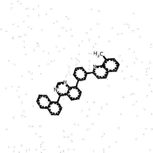 Cc1cccc2ccc(-c3cccc(-c4cccc5c(-c6cccc7ccccc67)ncnc45)c3)nc12